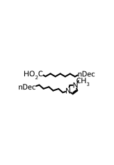 CCCCCCCCCCCCCCCCCC(=O)O.CCCCCCCCCCCCCCCCN1C=CN(C)C1